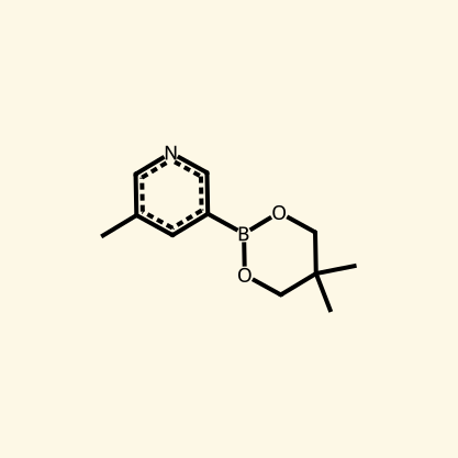 Cc1cncc(B2OCC(C)(C)CO2)c1